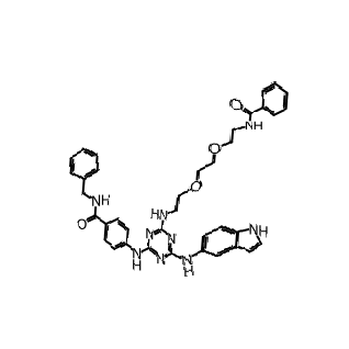 O=C(NCCOCCOCCNc1nc(Nc2ccc(C(=O)NCc3ccccc3)cc2)nc(Nc2ccc3[nH]ccc3c2)n1)c1ccccc1